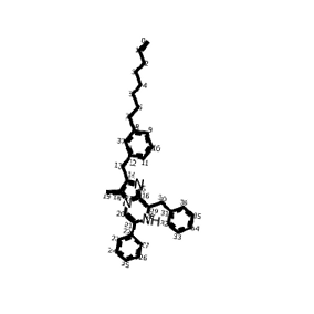 C=CCCCCCCc1cccc(Cc2nc3n(c2=C)C=C(c2ccccc2)NC=3Cc2ccccc2)c1